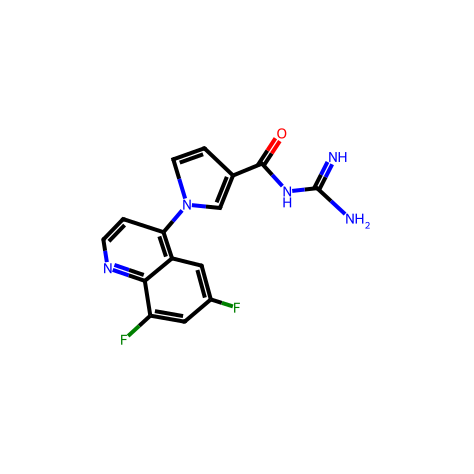 N=C(N)NC(=O)c1ccn(-c2ccnc3c(F)cc(F)cc23)c1